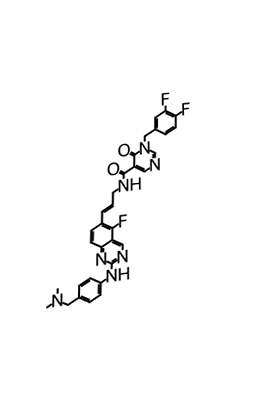 CN(C)Cc1ccc(Nc2ncc3c(F)c(C=CCNC(=O)c4cncn(Cc5ccc(F)c(F)c5)c4=O)ccc3n2)cc1